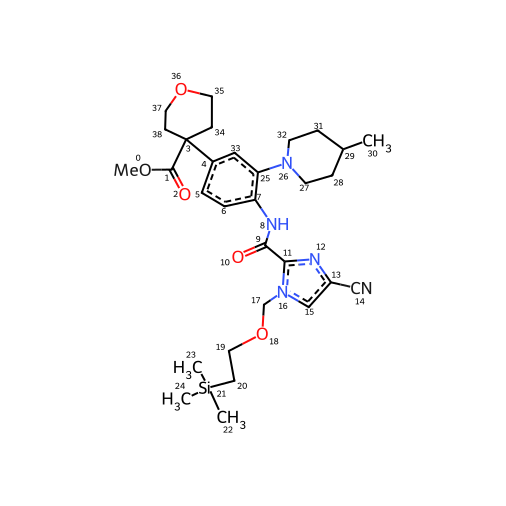 COC(=O)C1(c2ccc(NC(=O)c3nc(C#N)cn3COCC[Si](C)(C)C)c(N3CCC(C)CC3)c2)CCOCC1